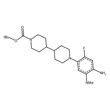 CNc1cc(N2CCC(C3CCN(C(=O)OC(C)(C)C)CC3)CC2)c(F)cc1N